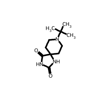 CC(C)(C)N1CCC2(CC1)NC(=O)NC2=O